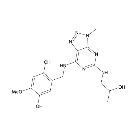 COc1cc(O)c(CNc2nc(NCC(C)O)nc3c2nnn3C)cc1O